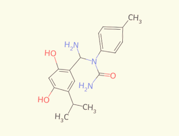 Cc1ccc(N(C(N)=O)C(N)c2cc(C(C)C)c(O)cc2O)cc1